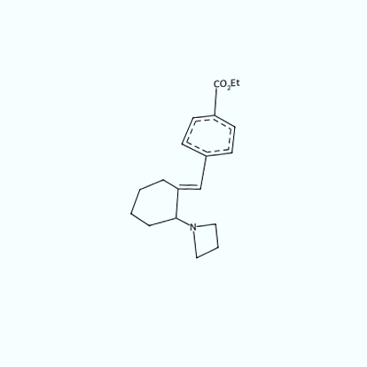 CCOC(=O)c1ccc(C=C2CCCCC2N2CCC2)cc1